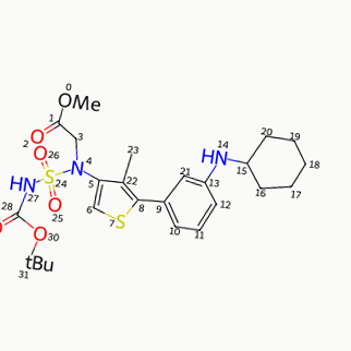 COC(=O)CN(c1csc(-c2cccc(NC3CCCCC3)c2)c1C)S(=O)(=O)NC(=O)OC(C)(C)C